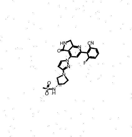 CS(=O)(=O)N[C@H]1CCN(c2ccn(-c3cc(-c4c(F)cccc4C#N)nc4c3C(=O)NC4)n2)C1